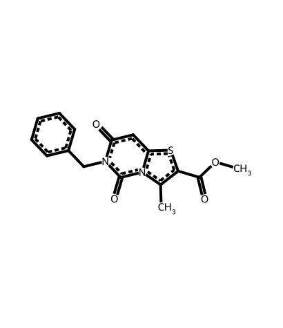 COC(=O)c1sc2cc(=O)n(Cc3ccccc3)c(=O)n2c1C